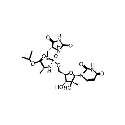 CC(C)OC(=O)[C@H](C)N[P@](=O)(OC[C@H]1O[C@@H](n2ccc(=O)[nH]c2=O)[C@](C)(O)[C@@H]1O)SC[C@H]1NC(=O)NC1=O